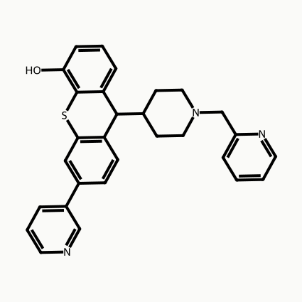 Oc1cccc2c1Sc1cc(-c3cccnc3)ccc1C2C1CCN(Cc2ccccn2)CC1